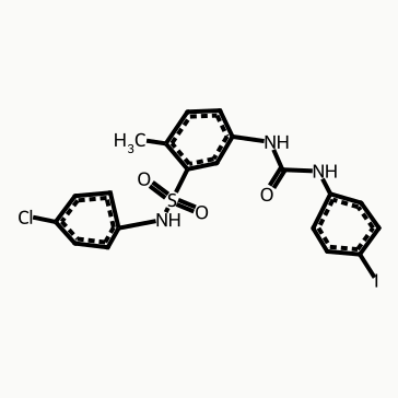 Cc1ccc(NC(=O)Nc2ccc(I)cc2)cc1S(=O)(=O)Nc1ccc(Cl)cc1